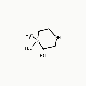 CS1(C)CCNCC1.Cl